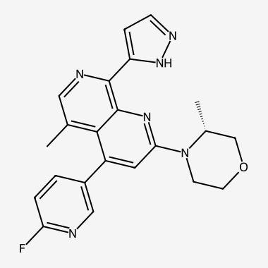 Cc1cnc(-c2ccn[nH]2)c2nc(N3CCOC[C@H]3C)cc(-c3ccc(F)nc3)c12